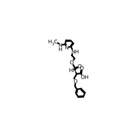 CNc1cccc(NCCOC(=O)NC(COCc2ccccc2)C(=O)O)n1